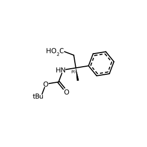 CC(C)(C)OC(=O)N[C@](C)(CC(=O)O)c1ccccc1